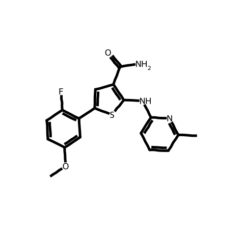 COc1ccc(F)c(-c2cc(C(N)=O)c(Nc3cccc(C)n3)s2)c1